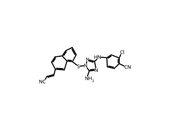 N#C/C=C/c1ccc2cccc(Sn3nc(Nc4ccc(C#N)c(Cl)c4)nc3N)c2c1